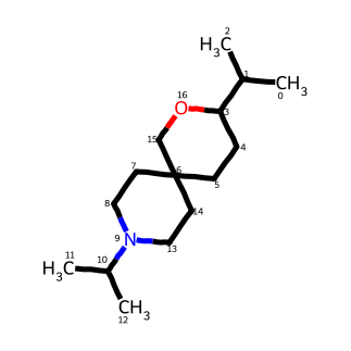 CC(C)C1CCC2(CCN(C(C)C)CC2)CO1